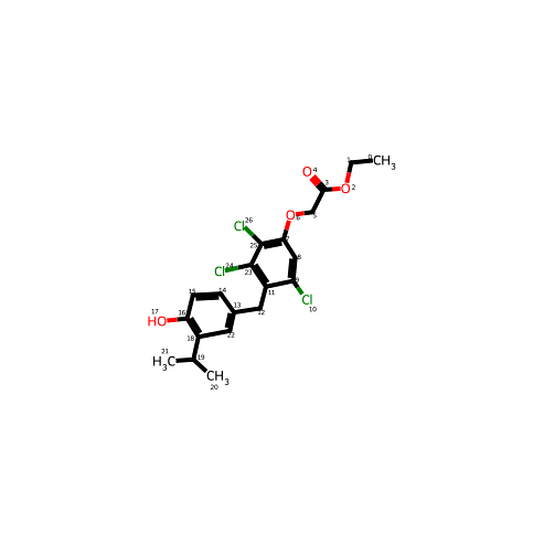 CCOC(=O)COc1cc(Cl)c(Cc2ccc(O)c(C(C)C)c2)c(Cl)c1Cl